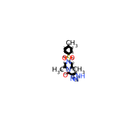 Cc1ccc(S(=O)(=O)N2C[C@@H](C)N(C(=O)c3c[nH]nn3)[C@@H](C)C2)cc1